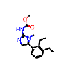 CCc1cccc(C2CN=C(NC(=O)OC)N2C)c1CC